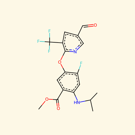 COC(=O)c1cc(Oc2ncc(C=O)cc2C(F)(F)F)c(F)cc1NC(C)C